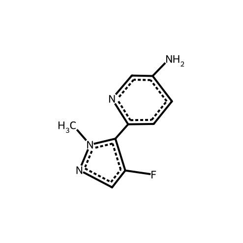 Cn1ncc(F)c1-c1ccc(N)cn1